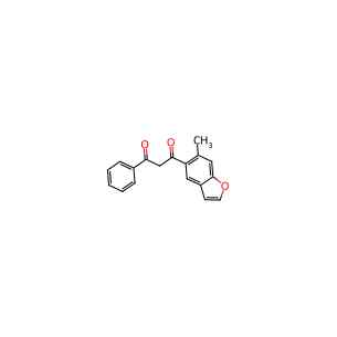 Cc1cc2occc2cc1C(=O)CC(=O)c1ccccc1